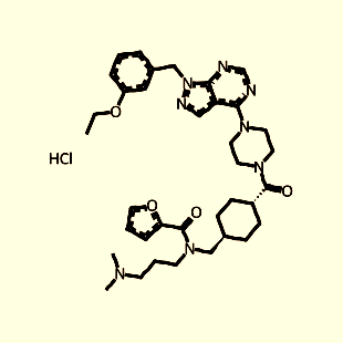 CCOc1cccc(Cn2ncc3c(N4CCN(C(=O)[C@H]5CC[C@H](CN(CCCN(C)C)C(=O)c6ccco6)CC5)CC4)ncnc32)c1.Cl